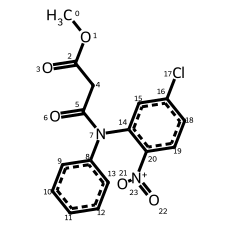 COC(=O)CC(=O)N(c1ccccc1)c1cc(Cl)ccc1[N+](=O)[O-]